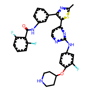 Cc1nc(-c2cccc(NC(=O)c3c(F)cccc3F)c2)c(-c2ccnc(Nc3ccc(OC4CCNCC4)c(F)c3)n2)s1